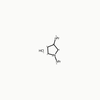 CCCC1CCN(CCC)C1.Cl